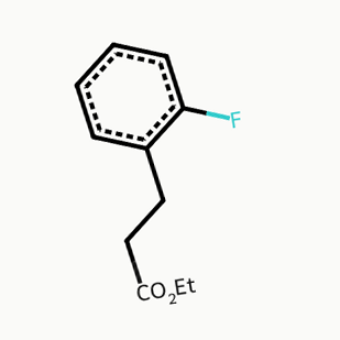 CCOC(=O)CCc1ccccc1F